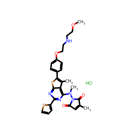 COCCNCCOc1ccc(-c2sc3nc(-c4cccs4)nc(N(C)N4C(=O)C=C(C)C4=O)c3c2C)cc1.Cl